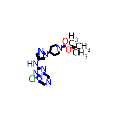 CC(C)(C)OC(=O)N1CCC(n2cc(NC3=N[N+]4(Cl)C=CN=CC4=N3)cn2)CC1